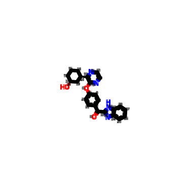 O=C(c1ccc(Oc2nccnc2[C@@H]2CCC[C@@H](O)C2)cc1)c1nc2ccccc2[nH]1